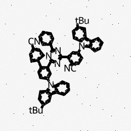 CC(C)(C)c1ccc2c(c1)c1ccccc1n2-c1ccc(C#N)c(-c2nc(-c3ccccc3)nc(-c3cc(-n4c5ccccc5c5cc(C(C)(C)C)ccc54)ccc3-c3ccc(C#N)cc3)n2)c1